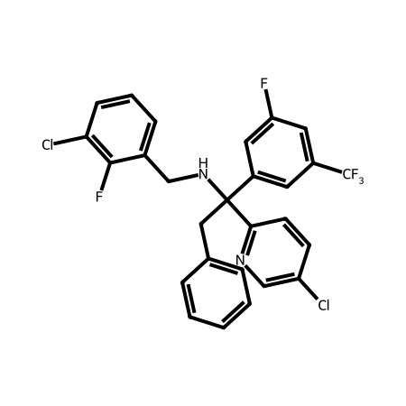 Fc1cc(C(F)(F)F)cc(C(Cc2ccccc2)(NCc2cccc(Cl)c2F)c2ccc(Cl)cn2)c1